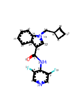 O=C(Nc1c(F)cncc1F)c1cn(CC2CCC2)c2ccccc12